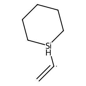 C=[C][SiH]1CCCCC1